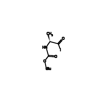 C[C@@H](NC(=O)OC(C)(C)C)C(=O)I